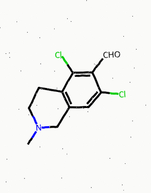 CN1CCc2c(cc(Cl)c(C=O)c2Cl)C1